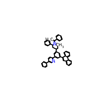 CCC(CC(/N=C(\C)c1ccccc1)c1ccccc1)c1cc(-c2ccc(-c3ccccc3)cn2)cc(-c2cc3ccccc3c3ccccc23)c1